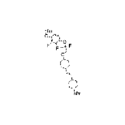 CCCCOc1ccc(OC(F)(F)COC2CCC(/C=C/C3CCC(CCC)CC3)CC2)c(F)c1F